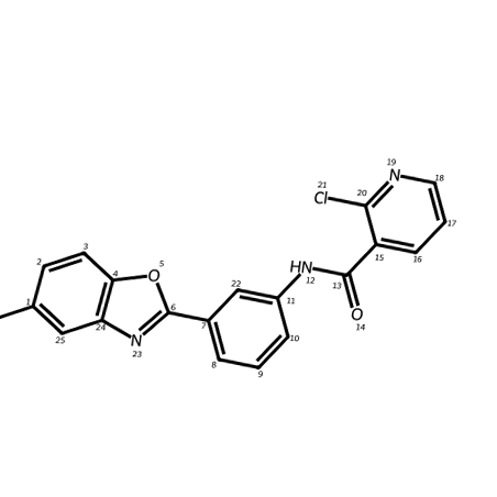 Cc1ccc2oc(-c3cccc(NC(=O)c4cccnc4Cl)c3)nc2c1